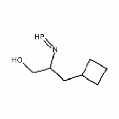 OCC(CC1CCC1)N=P